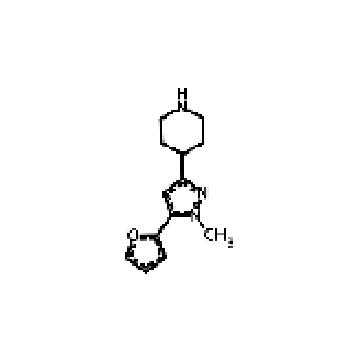 Cn1nc(C2CCNCC2)cc1-c1ccco1